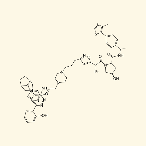 Cc1ncsc1-c1ccc([C@H](C)NC(=O)[C@@H]2C[C@@H](O)CN2C(=O)[C@@H](c2cc(CCCN3CCN(CCOc4cc(N5C6CCC5CN(c5cc(-c7ccccc7O)nnc5N)C6)ccn4)CC3)no2)C(C)C)cc1